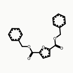 O=C(OCc1ccccc1)c1ccc(C(=O)OCc2ccccc2)o1